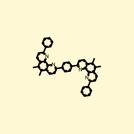 Cc1c(C)c2ccc(-c3ccc(-c4ccc5c(C)c(C)c6ccc(-c7ccccc7)nc6c5n4)cc3)nc2c2nc(-c3ccccc3)ccc12